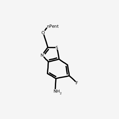 CCCCCOc1nc2cc(N)c(F)cc2s1